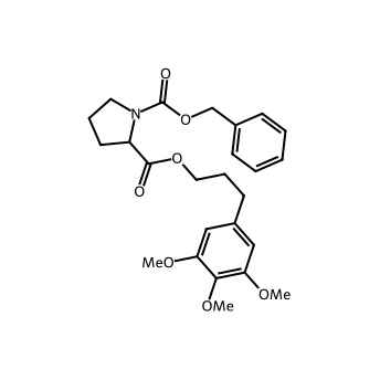 COc1cc(CCCOC(=O)C2CCCN2C(=O)OCc2ccccc2)cc(OC)c1OC